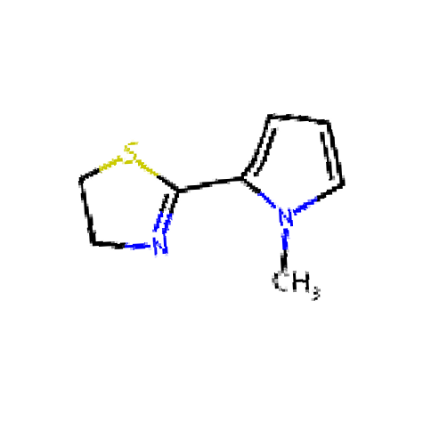 Cn1cccc1C1=NCCS1